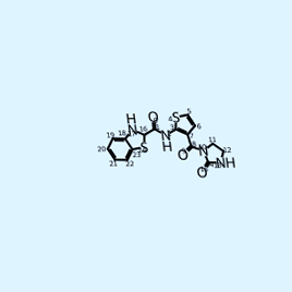 O=C(Nc1sccc1C(=O)N1CCNC1=O)C1Nc2ccccc2S1